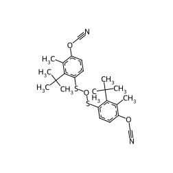 Cc1c(OC#N)ccc(SOSc2ccc(OC#N)c(C)c2C(C)(C)C)c1C(C)(C)C